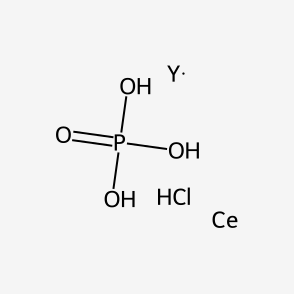 Cl.O=P(O)(O)O.[Ce].[Y]